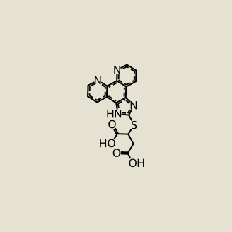 O=C(O)CC(Sc1nc2c3cccnc3c3ncccc3c2[nH]1)C(=O)O